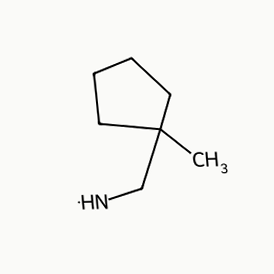 CC1(C[NH])CCCC1